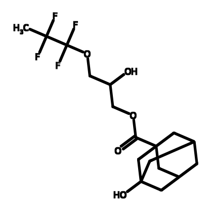 CC(F)(F)C(F)(F)OCC(O)COC(=O)C12CC3CC(CC(O)(C3)C1)C2